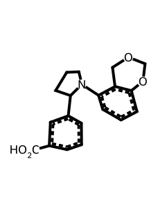 O=C(O)c1cccc(C2CCCN2c2cccc3c2COCO3)c1